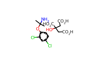 CC(C)(N)Oc1ccc(Cl)cc1Cl.O=C(O)CC(O)(CC(=O)O)C(=O)O